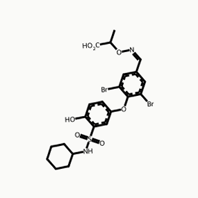 CC(O/N=C\c1cc(Br)c(Oc2ccc(O)c(S(=O)(=O)NC3CCCCC3)c2)c(Br)c1)C(=O)O